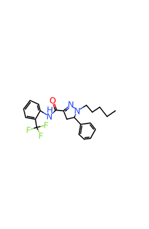 CCCCCN1N=C(C(=O)Nc2ccccc2C(F)(F)F)CC1c1ccccc1